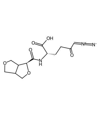 [N-]=[N+]=CC(=O)CC[C@H](NC(=O)[C@H]1OCC2COCC21)C(=O)O